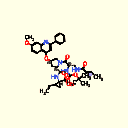 C=CC1C[C@]1(NC(=O)[C@@H]1C[C@@H](Oc2cc(-c3ccccc3)nc3cc(OC)ccc23)CN1C(=O)[C@H](CNC(=O)/C=C/C)NC(=O)OC(C)(C)C)C(=O)O